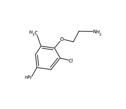 CCCc1cc(C)c(OCCN)c(Cl)c1